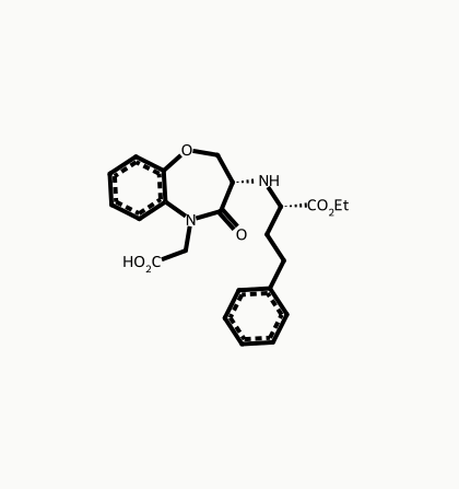 CCOC(=O)[C@H](CCc1ccccc1)N[C@H]1COc2ccccc2N(CC(=O)O)C1=O